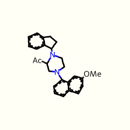 COc1ccc2cccc(N3CCN(C4CCc5ccccc54)C(C(C)=O)C3)c2c1